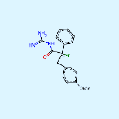 COc1ccc(C[C@](F)(C(=O)NC(=N)N)c2ccccc2)cc1